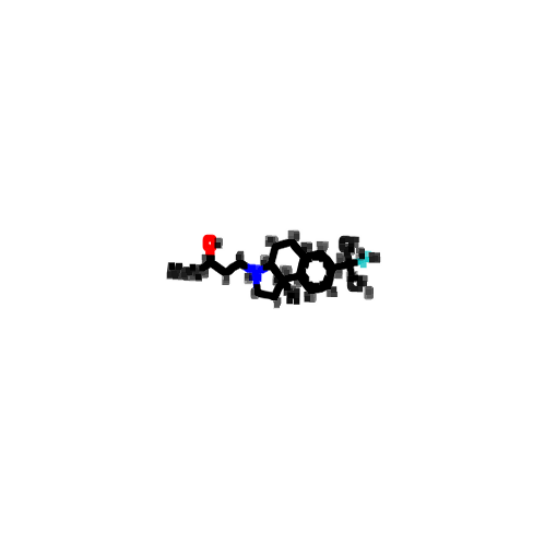 CNC(=O)CCN1CC[C@H]2c3ccc(C(F)(C(F)(F)F)C(F)(F)F)cc3CCC21